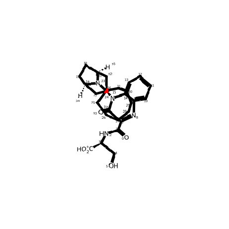 O=C(N[C@@H](CO)C(=O)O)c1nc2ccccc2n([C@H]2C[C@H]3CC[C@@H](C2)N3C2CCCCCCC2)c1=O